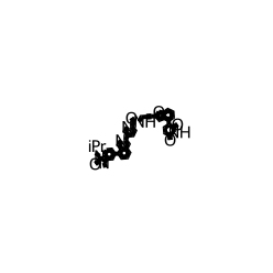 CC(C)c1cc(-c2cccc3cc(-c4ccc(C(=O)NCC#Cc5cc6c(C7CCC(=O)NC7=O)cccc6o5)nc4)ncc23)cc2c1n(C)c(=O)n2C